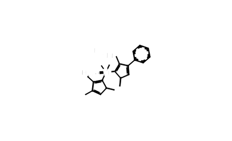 CC1=CC(C)[C]([Zr]([CH3])([CH3])(=[GeH2])[C]2=C(C)C(c3ccccc3)=CC2C)=C1C.Cl.Cl